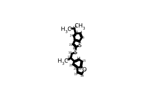 CC(C)c1ccc2sc(SCC(C)c3ccc4occc4c3)cc2c1